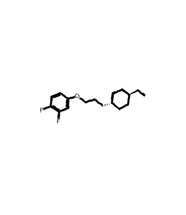 CC[C@H]1CC[C@H](CCCOc2ccc(F)c(F)c2)CC1